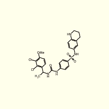 COc1ccc(C(C)NC(=O)Nc2ccc(S(=O)(=O)Nc3ccc4c(c3)CCCN4)cc2)c(Cl)c1Cl